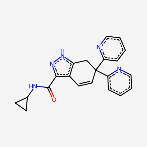 O=C(NC1CC1)c1n[nH]c2c1C=CC(c1ccccn1)(c1ccccn1)C2